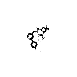 CC(C)(C)OC(=O)N1CC(F)(F)C[C@H]1C(=O)NCc1ccnc(-c2ccc(C(F)(F)F)cc2)c1